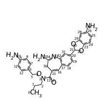 CCCN(OCc1ccc(N)cc1)C(=O)C1=Cc2ccc(C3Oc4ccc(N)cc4O3)cc2N=C(N)C1